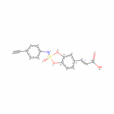 C#Cc1ccc(N=S2(=O)Oc3ccc(/C=C/C(=O)O)cc3O2)cc1